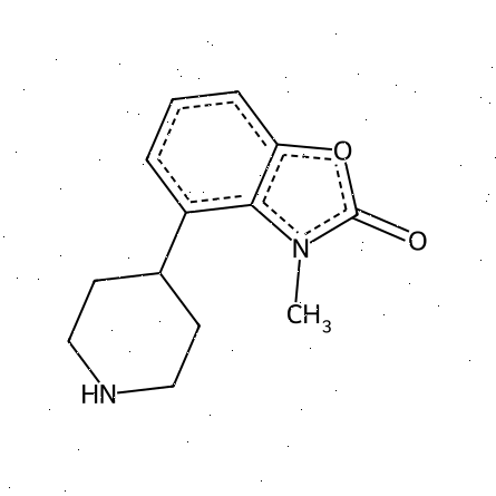 Cn1c(=O)oc2cccc(C3CCNCC3)c21